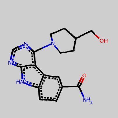 NC(=O)c1ccc2[nH]c3ncnc(N4CCC(CO)CC4)c3c2c1